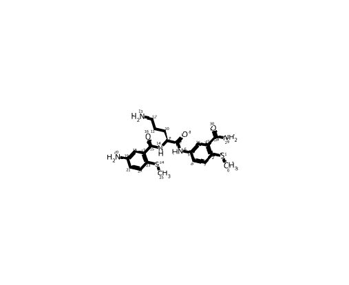 CSc1ccc(NC(=O)[C@H](CCCN)NC(=O)c2cc(N)ccc2SC)cc1C(N)=O